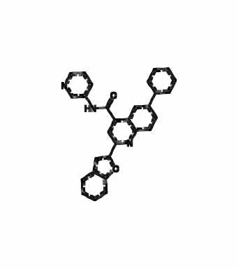 O=C(Nc1cccnc1)c1cc(-c2cc3ccccc3o2)nc2ccc(-c3ccccc3)cc12